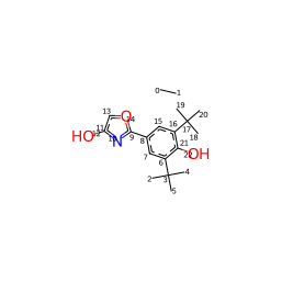 CC.CC(C)(C)c1cc(-c2nc(O)co2)cc(C(C)(C)C)c1O